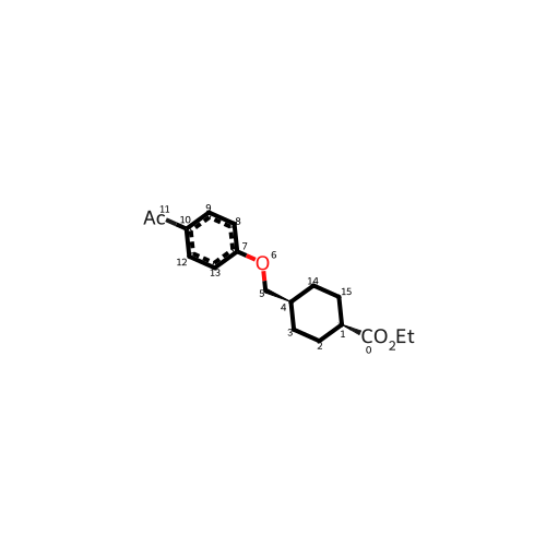 CCOC(=O)[C@H]1CC[C@@H](COc2ccc(C(C)=O)cc2)CC1